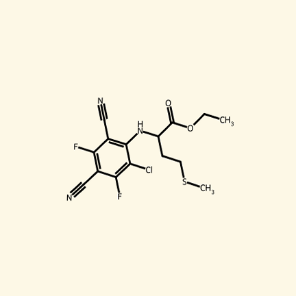 CCOC(=O)C(CCSC)Nc1c(Cl)c(F)c(C#N)c(F)c1C#N